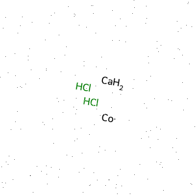 Cl.Cl.[CaH2].[Co]